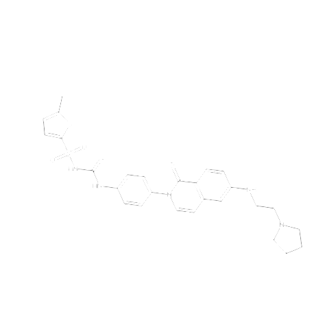 Cc1ccc(S(=O)(=O)NC(=O)Nc2ccc(-n3ccc4cc(NCCN5CCCC5)ccc4c3=O)cc2)s1